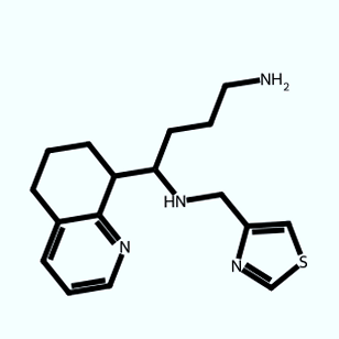 NCCCC(NCc1cscn1)C1CCCc2cccnc21